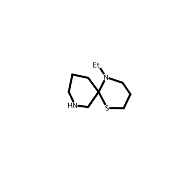 CCN1CCCSC12CCCNC2